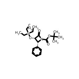 CC[Si](CC)(CC)O[C@@H]1C(=O)N(C(=O)OC(C)(C)C)[C@@H]1c1ccccc1